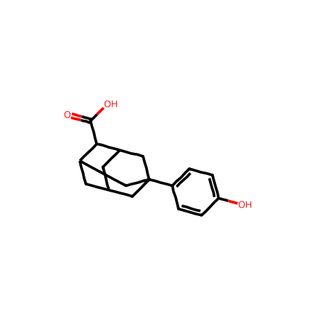 O=C(O)C1C2CC3CC1CC(c1ccc(O)cc1)(C3)C2